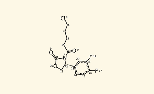 O=C(CCCCCl)N1C(=O)OC[C@H]1c1ccc(F)c(F)c1